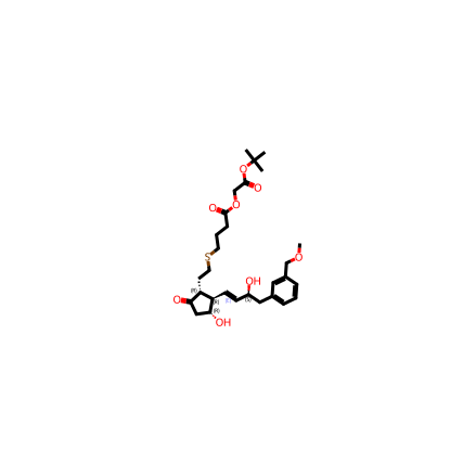 COCc1cccc(C[C@H](O)/C=C/[C@H]2[C@H](O)CC(=O)[C@@H]2CCSCCCC(=O)OCC(=O)OC(C)(C)C)c1